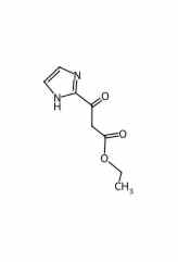 CCOC(=O)CC(=O)c1ncc[nH]1